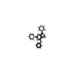 c1ccc(Cc2nc(N3CCCCC3)nc3c(N4CCOCC4)noc23)cc1